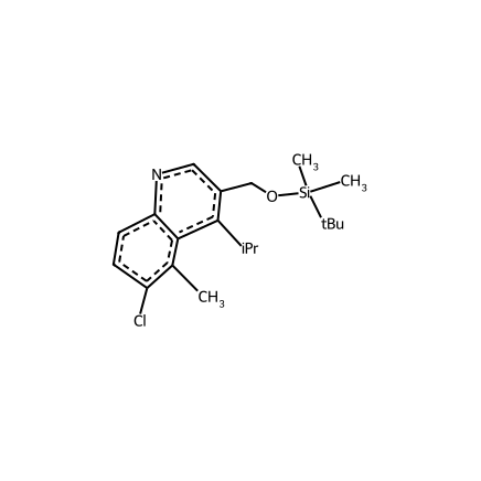 Cc1c(Cl)ccc2ncc(CO[Si](C)(C)C(C)(C)C)c(C(C)C)c12